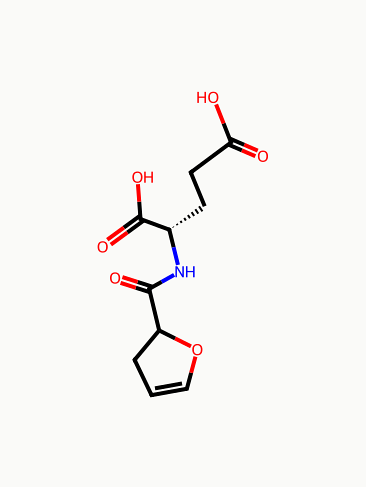 O=C(O)CC[C@H](NC(=O)C1CC=CO1)C(=O)O